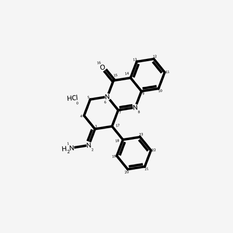 Cl.NN=C1CCn2c(nc3ccccc3c2=O)C1c1ccccc1